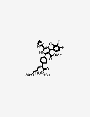 COC[C@@H](O)CN(C(=O)OC(C)(C)C)[C@H]1CC[C@H](C2=C(C(=O)OC)C(c3ccc(F)c(F)c3Cl)N=C(c3nccs3)N2)CC1